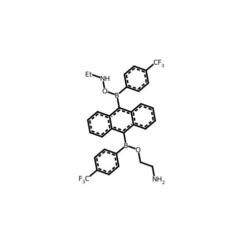 CCNOB(c1ccc(C(F)(F)F)cc1)c1c2ccccc2c(B(OCCN)c2ccc(C(F)(F)F)cc2)c2ccccc12